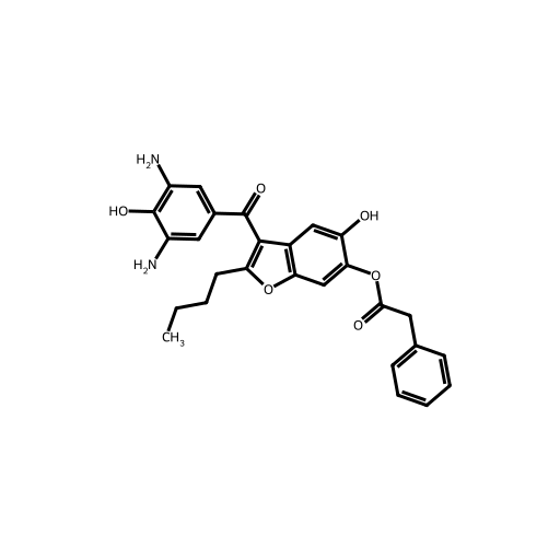 CCCCc1oc2cc(OC(=O)Cc3ccccc3)c(O)cc2c1C(=O)c1cc(N)c(O)c(N)c1